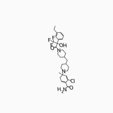 CCc1cccc(C(O)(C(=O)N2CCC(CC3CCN(C4(C)C=C(Cl)C(C(N)=O)=CC4)CC3)CC2)C(F)(F)F)c1